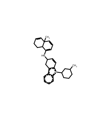 CC1CCCC(n2c3c(c4ccccc42)CC(NC2=CC=CC4(C)C=CCCC24)C=C3)C1